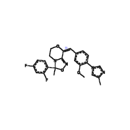 COc1cc(/C=C2/OCCN3C2=NOC3(C)c2ccc(F)cc2F)ccc1-n1cnc(C)c1